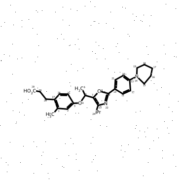 Cc1cc(OC(C)c2oc(-c3ccc(N4CCCCC4)cc3)nc2C(C)C)ccc1CCC(=O)O